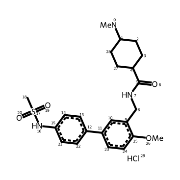 CNC1CCC(C(=O)NCc2cc(-c3ccc(NS(C)(=O)=O)cc3)ccc2OC)CC1.Cl